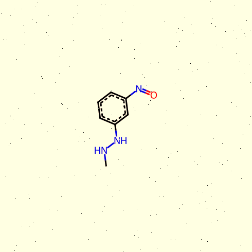 CNNc1cccc(N=O)c1